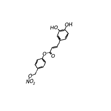 O=C(/C=C/c1ccc(O)c(O)c1)Oc1ccc(CO[N+](=O)[O-])cc1